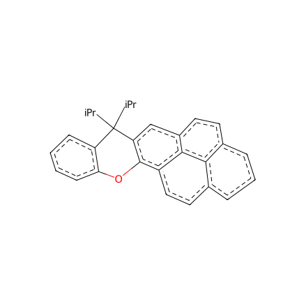 CC(C)C1(C(C)C)c2ccccc2Oc2c1cc1ccc3cccc4ccc2c1c34